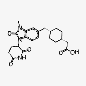 Cn1c(=O)n(C2CCC(=O)NC2=O)c2ccc(C[C@H]3CC[C@@H](CC(=O)O)CC3)cc21